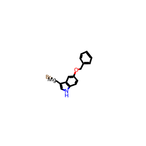 [Br][Mg][c]1c[nH]c2ccc(OCc3ccccc3)cc12